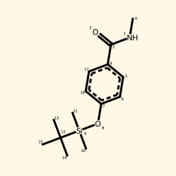 CNC(=O)c1ccc(O[Si](C)(C)C(C)(C)C)cc1